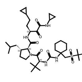 CC(C)C[C@H]1CCN(C(=O)[C@@H](NC(=O)NC2(CS(=O)(=O)C(C)(C)C)CCCCC2)C(C)(C)C)[C@@H]1C(=O)N[C@@H](CCC1CC1)C(=O)C(=O)NC1CC1